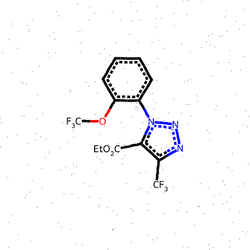 CCOC(=O)c1c(C(F)(F)F)nnn1-c1ccccc1OC(F)(F)F